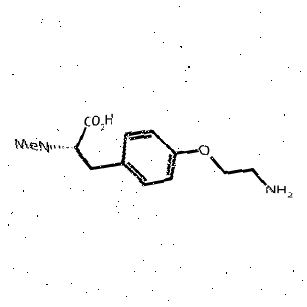 CN[C@@H](Cc1ccc(OCCN)cc1)C(=O)O